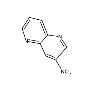 O=[N+]([O-])c1cnc2cccnc2c1